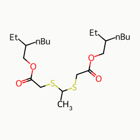 CCCCC(CC)COC(=O)CSC(C)SCC(=O)OCC(CC)CCCC